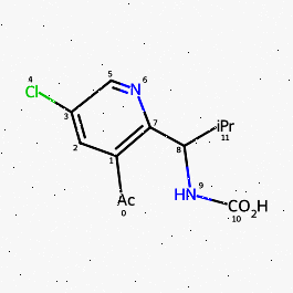 CC(=O)c1cc(Cl)cnc1C(NC(=O)O)C(C)C